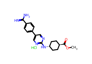 COC(=O)[C@H]1CC[C@H](Nc2ncc(-c3ccc(C(=N)N)cc3)cn2)CC1.Cl